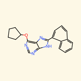 c1ccc2c(-c3nc4c(OC5CCCC5)ncnc4[nH]3)cccc2c1